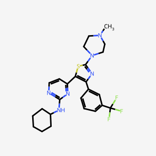 CN1CCN(c2nc(-c3cccc(C(F)(F)F)c3)c(-c3ccnc(NC4CCCCC4)n3)s2)CC1